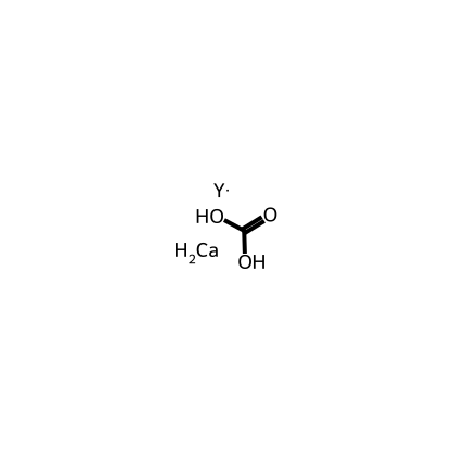 O=C(O)O.[CaH2].[Y]